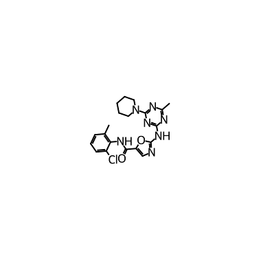 Cc1nc(Nc2ncc(C(=O)Nc3c(C)cccc3Cl)o2)nc(N2CCCCC2)n1